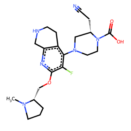 CN1CCC[C@H]1COc1nc2c(c(N3CCN(C(=O)O)[C@@H](CC#N)C3)c1F)CCNC2